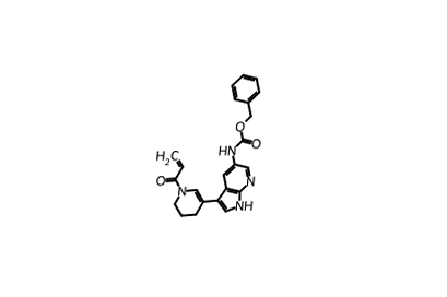 C=CC(=O)N1C=C(c2c[nH]c3ncc(NC(=O)OCc4ccccc4)cc23)CCC1